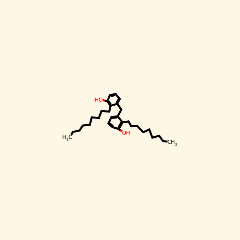 CCCCCCCCCc1c(O)cccc1Cc1cccc(O)c1CCCCCCCCC